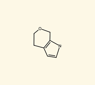 C1=CC2=C(COCC2)[N]1